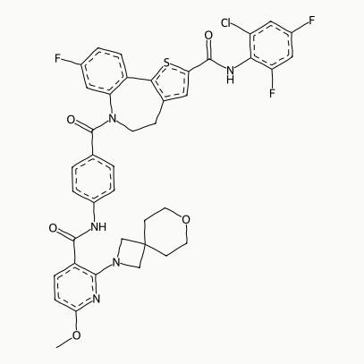 COc1ccc(C(=O)Nc2ccc(C(=O)N3CCc4cc(C(=O)Nc5c(F)cc(F)cc5Cl)sc4-c4ccc(F)cc43)cc2)c(N2CC3(CCOCC3)C2)n1